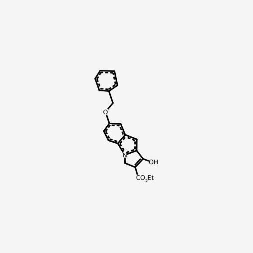 CCOC(=O)C1=C(O)c2cc3cc(OCc4ccccc4)ccc3n2C1